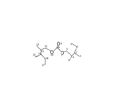 CCC(C)C(C)COC(=O)OCC(C)C(C)CC